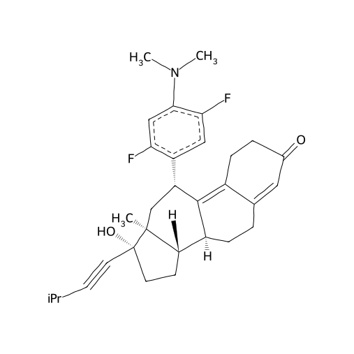 CC(C)C#C[C@]1(O)CC[C@H]2[C@@H]3CCC4=CC(=O)CCC4=C3[C@@H](c3cc(F)c(N(C)C)cc3F)C[C@@]21C